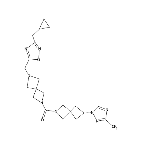 O=C(N1CC2(CC(n3cnc(C(F)(F)F)n3)C2)C1)N1CC2(CN(Cc3nc(CC4CC4)no3)C2)C1